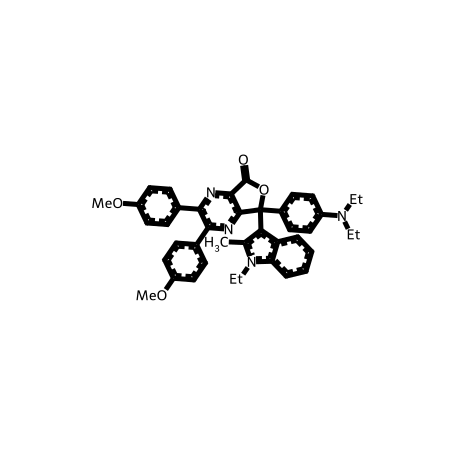 CCN(CC)c1ccc(C2(c3c(C)n(CC)c4ccccc34)OC(=O)c3nc(-c4ccc(OC)cc4)c(-c4ccc(OC)cc4)nc32)cc1